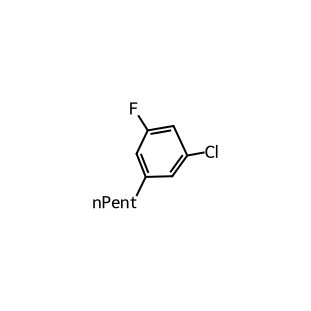 CCCCCc1cc(F)cc(Cl)c1